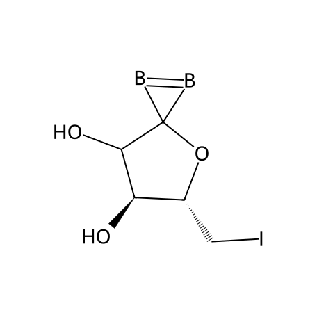 OC1[C@H](O)[C@@H](CI)OC12B=B2